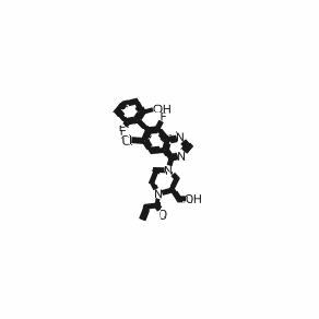 C=CC(=O)N1CCN(c2ncnc3c(F)c(-c4c(O)cccc4F)c(Cl)cc23)CC1CO